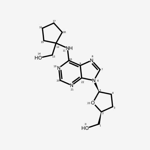 OC[C@@H]1CC[C@H](n2cnc3c(NC4(CO)CCCC4)ncnc32)O1